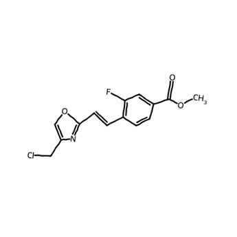 COC(=O)c1ccc(C=Cc2nc(CCl)co2)c(F)c1